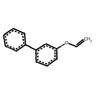 C=COc1cccc(-c2ccccc2)c1